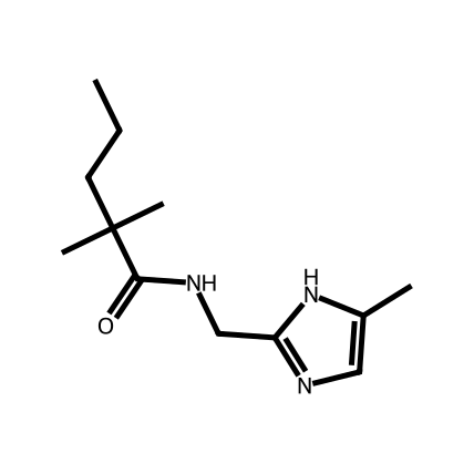 CCCC(C)(C)C(=O)NCc1ncc(C)[nH]1